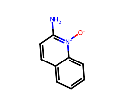 Nc1ccc2ccccc2[n+]1[O-]